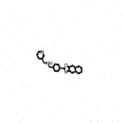 c1cncc(CNCc2ccc(-c3nc4cc5ccccc5cc4o3)cc2)c1